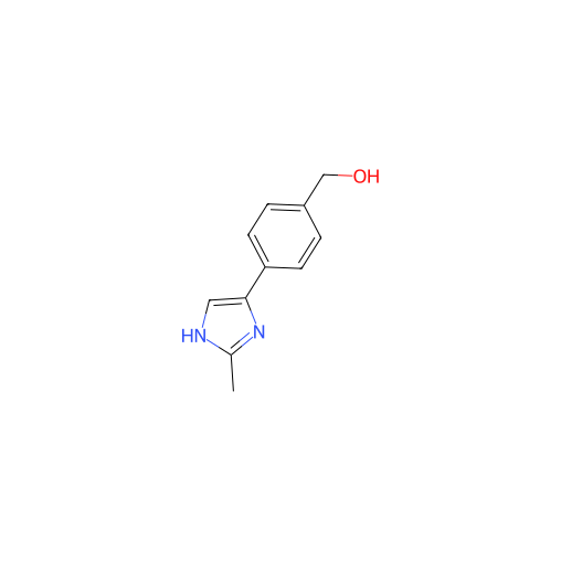 Cc1nc(-c2ccc(CO)cc2)c[nH]1